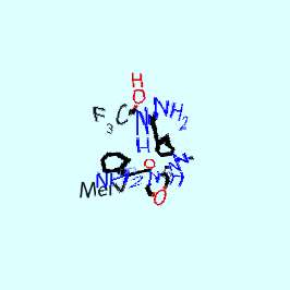 CN/C(C(=O)N1CCOC[C@H]1CNN(C)c1ccc(C(N)NC(O)C(F)(F)F)cc1)=C1/CCCCC1N